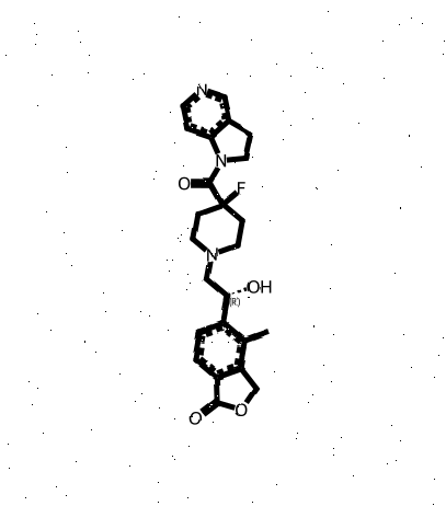 Cc1c([C@@H](O)CN2CCC(F)(C(=O)N3CCc4cnccc43)CC2)ccc2c1COC2=O